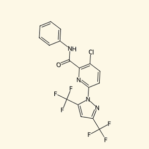 O=C(Nc1ccccc1)c1nc(-n2nc(C(F)(F)F)cc2C(F)(F)F)ccc1Cl